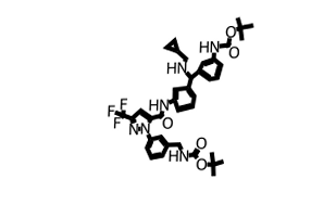 CC(C)(C)OC(=O)NCc1cccc(-n2nc(C(F)(F)F)cc2C(=O)Nc2cccc(C(NCC3CC3)c3cccc(NC(=O)OC(C)(C)C)c3)c2)c1